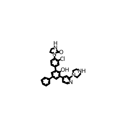 O=C1NCCN1c1ccc(-c2cc(-c3ccccc3)cc(-c3ccnc(N4CCNCC4)c3)c2O)cc1Cl